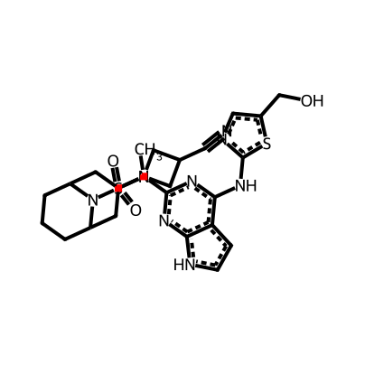 CN(c1nc(Nc2ncc(CO)s2)c2cc[nH]c2n1)C1CC2CCCC(C1)N2S(=O)(=O)N1CC(C#N)C1